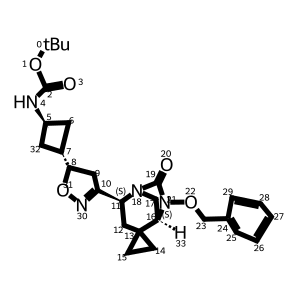 CC(C)(C)OC(=O)N[C@H]1C[C@H](C2CC([C@@H]3CC4(CC4)[C@H]4CN3C(=O)N4OCc3ccccc3)=NO2)C1